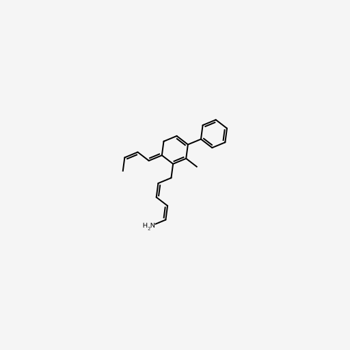 C/C=C\C=C1/CC=C(c2ccccc2)C(C)=C1C/C=C\C=C/N